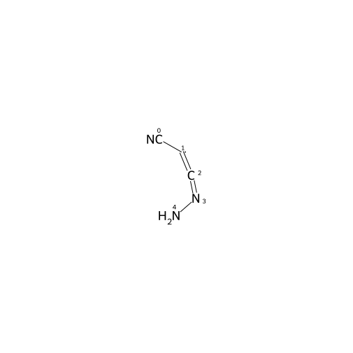 N#C[C]=C=NN